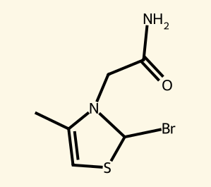 CC1=CSC(Br)N1CC(N)=O